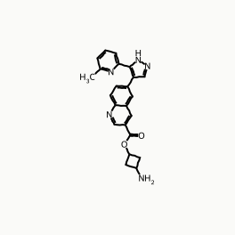 Cc1cccc(-c2[nH]ncc2-c2ccc3ncc(C(=O)OC4CC(N)C4)cc3c2)n1